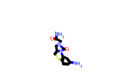 NC(=O)CN1CC2CSc3ccc(N)cc3N2C1=O